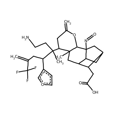 C=C1CC(C(C)(CCN)C(CC(=C)C(F)(F)F)c2ccoc2)C2(C)CC3C(CC(=O)O)C4CC3C(N=O)(C4)C2O1